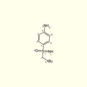 CC(C)(C)CS(=N)(=O)c1ccc(N)cc1